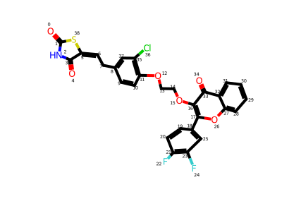 O=C1NC(=O)C(=CCc2ccc(OCCOc3c(-c4ccc(F)c(F)c4)oc4ccccc4c3=O)c(Cl)c2)S1